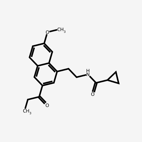 CCC(=O)c1cc(CCNC(=O)C2CC2)c2cc(OC)ccc2c1